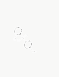 CC(C)(C)c1ccc(C(Cl)(Cl)c2ccccc2Cl)cc1